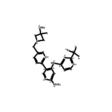 COC1(C)CN(Cc2ccc(-c3cnc(NC(C)=O)cc3Nc3ccnc(C(C)(F)F)n3)nc2)C1